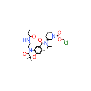 CCC(=O)NCCN1C(=O)C(C)(C)Oc2cc(C)c(C(=O)N(C(C)C)[C@@H]3CCCN(C(=O)OCCl)C3)cc21